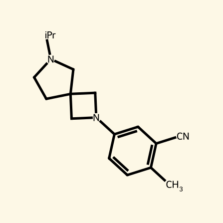 Cc1ccc(N2CC3(CCN(C(C)C)C3)C2)cc1C#N